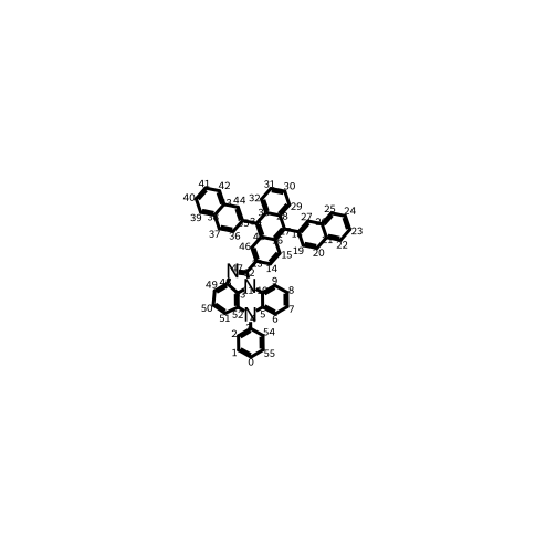 c1ccc(N2c3ccccc3-n3c(-c4ccc5c(-c6ccc7ccccc7c6)c6ccccc6c(-c6ccc7ccccc7c6)c5c4)nc4cccc2c43)cc1